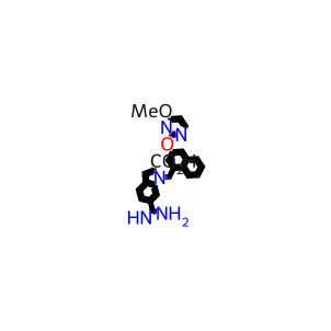 COc1ccnc(Oc2cc(Cn3c(C(=O)O)cc4ccc(C(=N)N)cc43)c3ccccc3c2)n1